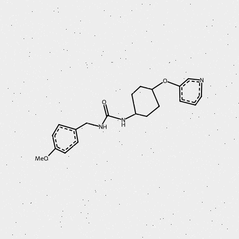 COc1ccc(CNC(=O)NC2CCC(Oc3cccnc3)CC2)cc1